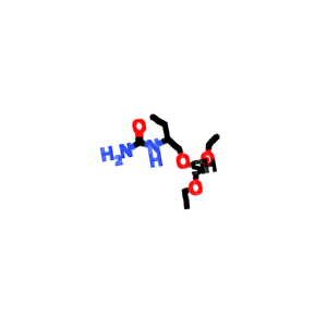 CCO[SiH](OCC)OCC(CC)NC(N)=O